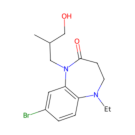 CCN1CCC(=O)N(CC(C)CO)c2cc(Br)ccc21